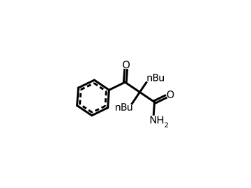 CCCCC(CCCC)(C(N)=O)C(=O)c1ccccc1